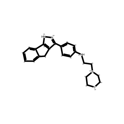 c1ccc2c(c1)Cc1c(-c3ccc(NCCN4CCSCC4)cc3)n[nH]c1-2